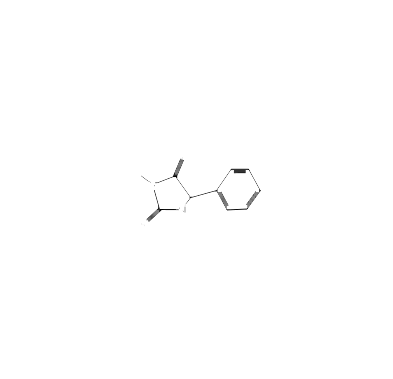 CN1C(=N)NC(c2ccccc2)C1=O